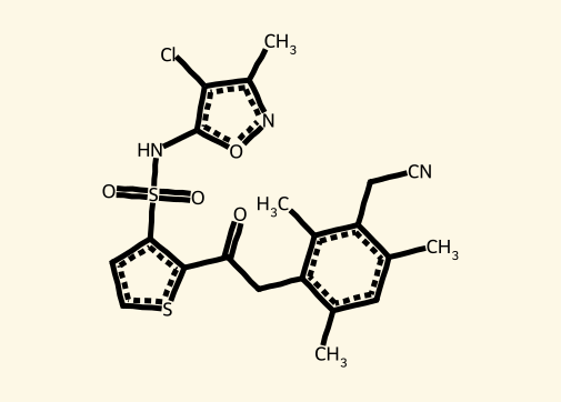 Cc1cc(C)c(CC(=O)c2sccc2S(=O)(=O)Nc2onc(C)c2Cl)c(C)c1CC#N